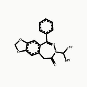 CCCC(CCC)N1N=C(c2ccccc2)c2cc3c(cc2CC1=O)OCO3